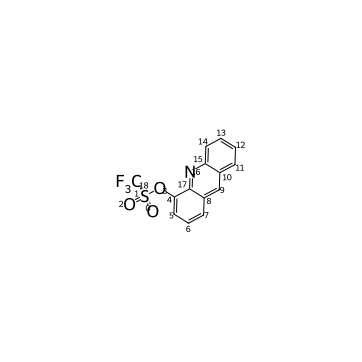 O=S(=O)(Oc1cccc2cc3ccccc3nc12)C(F)(F)F